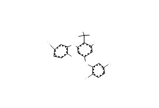 Nc1ccc(F)c(Oc2cc(F)c(C(F)(F)F)c(Oc3cc(N)ccc3F)c2)c1